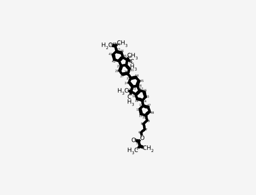 C=C(C)C(=O)OCCCCc1ccc(-c2ccc3c(c2)C(C)(C)c2cc(-c4ccc5c(c4)C(C)(C)c4cc(C(=C)C)ccc4-5)ccc2-3)cc1